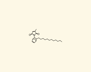 CCCCCCCCCCCCC1C2C=CC(C2)C1N1C(=O)C=C(C)C1=O